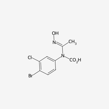 CC(=NO)N(C(=O)O)c1ccc(Br)c(Cl)c1